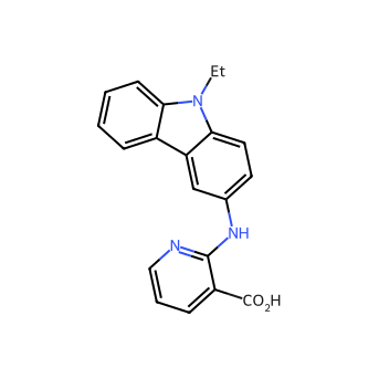 CCn1c2ccccc2c2cc(Nc3ncccc3C(=O)O)ccc21